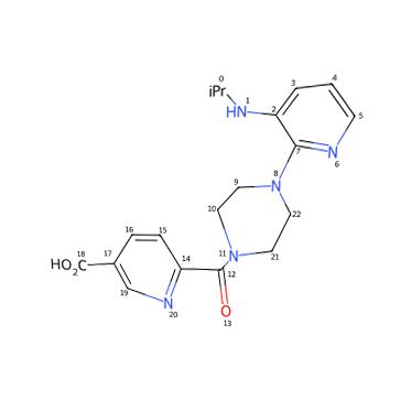 CC(C)Nc1cccnc1N1CCN(C(=O)c2ccc(C(=O)O)cn2)CC1